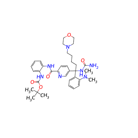 CN(C)c1ccccc1C(CCCCN1CCOCC1)(NC(N)=O)c1ccc(C(=O)Nc2ccccc2NC(=O)OC(C)(C)C)nc1